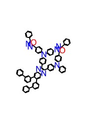 c1ccc(-c2cccc(-c3cc4nc(-c5ccc(N(c6ccccc6)c6ccc(-c7nnc(-c8ccccc8)o7)cc6)cc5)c(-c5ccc(N(c6ccccc6)c6ccc(-c7nnc(-c8ccccc8)o7)cc6)cc5)nc4cc3-c3cccc(-c4ccccc4)c3)c2)cc1